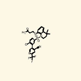 CC1(C)CCN(S(=O)(=O)c2ccc(Cl)c(-c3cnc(C(F)(F)F)cc3C#N)c2)c2c(OCCC(=O)O)cccc21